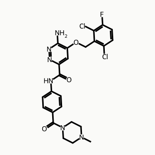 CN1CCN(C(=O)c2ccc(NC(=O)c3cc(OCc4c(Cl)ccc(F)c4Cl)c(N)nn3)cc2)CC1